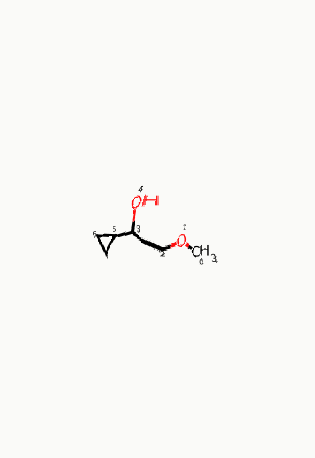 COCC(O)C1CC1